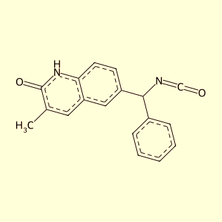 Cc1cc2cc(C(N=C=O)c3ccccc3)ccc2[nH]c1=O